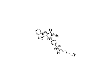 CNC(=O)c1nn(-c2ccccc2)c(O)c1/N=N/c1ccc(S(=O)(=O)NCCCCCCBr)cc1